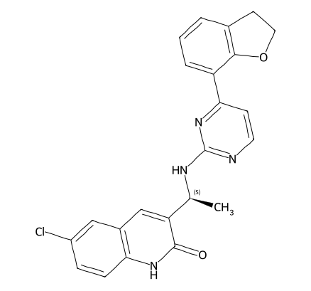 C[C@H](Nc1nccc(-c2cccc3c2OCC3)n1)c1cc2cc(Cl)ccc2[nH]c1=O